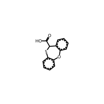 O=C(O)C1Sc2ccccc2Oc2ccccc21